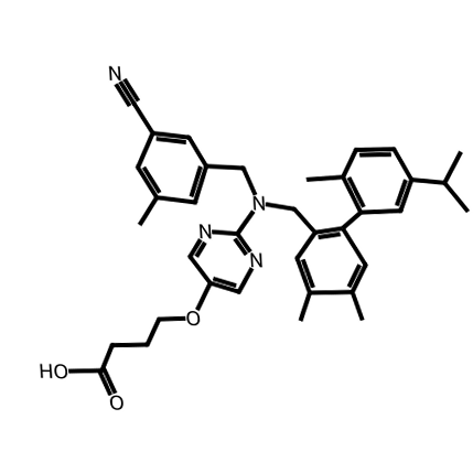 Cc1cc(C#N)cc(CN(Cc2cc(C)c(C)cc2-c2cc(C(C)C)ccc2C)c2ncc(OCCCC(=O)O)cn2)c1